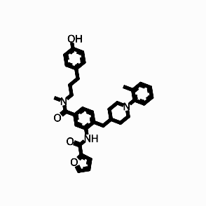 Cc1ccccc1N1CCC(Cc2ccc(C(=O)N(C)CCCc3ccc(O)cc3)cc2NC(=O)c2ccco2)CC1